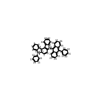 C1=CC2C(c3ccccc3N2c2ccccc2)c2c1n(-c1c3ccccc3c(-c3ccccc3)c3ccccc13)c1ccccc21